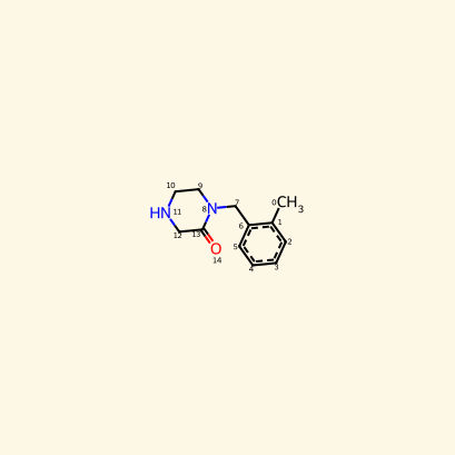 Cc1ccccc1CN1CCNCC1=O